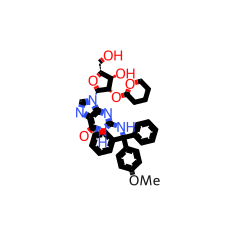 COc1ccc(C(Nc2nc3c(ncn3[C@@H]3O[C@H](CO)[C@@H](O)[C@H]3OC3CCCCO3)c(=O)[nH]2)(c2ccccc2)c2ccccc2)cc1